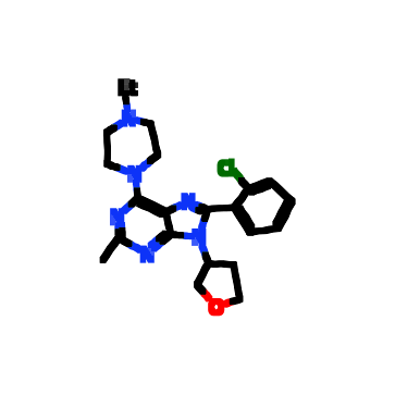 CCN1CCN(c2nc(C)nc3c2nc(-c2ccccc2Cl)n3C2CCOC2)CC1